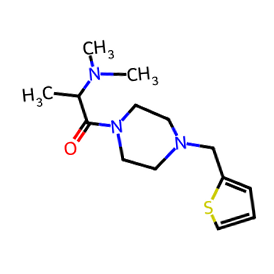 CC(C(=O)N1CCN(Cc2cccs2)CC1)N(C)C